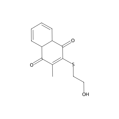 CC1=C(SCCO)C(=O)C2C=CC=CC2C1=O